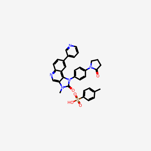 Cc1ccc(S(=O)(=O)O)cc1.Cn1c(=O)n(-c2ccc(N3CCCC3=O)cc2)c2c3cc(-c4cccnc4)ccc3ncc21